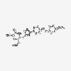 CCCCOC(=O)C(Cc1nc(-c2ccc(OCc3ccc(OC)cc3)cn2)no1)NC(=O)OC(C)(C)C